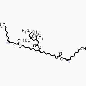 CCCCCC/C=C\COC(=O)OCCCCCCC(CCCCCCOC(=O)OC/C=C\CCCCCC)OC(=O)CC(C)CC(C)(C)CN(C)C